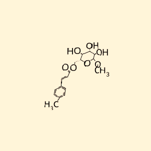 COC1O[C@H](COC(=O)/C=C/c2ccc(C)cc2)[C@@H](O)[C@H](O)[C@H]1O